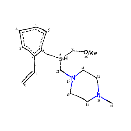 C=Cc1ccccc1[SiH](COC)CN1CCN(C)CC1